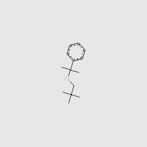 CC(C)(C)CNC(C)(C)c1ccccc1